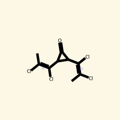 C/C(Cl)=C(/Cl)C1C(=O)C1/C(Cl)=C(\C)Cl